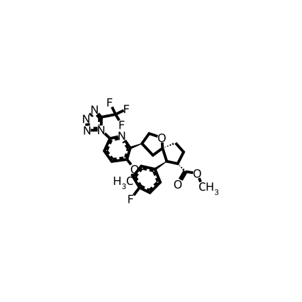 COC(=O)[C@H]1CC[C@@]2(C[C@@H](c3nc(-n4nnnc4C(F)(F)F)ccc3OC)CO2)[C@@H]1c1ccc(F)cc1